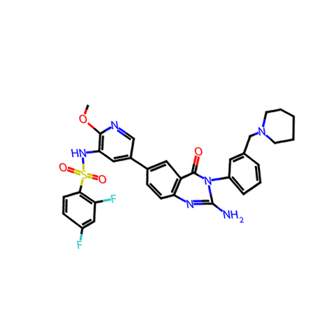 COc1ncc(-c2ccc3nc(N)n(-c4cccc(CN5CCCCC5)c4)c(=O)c3c2)cc1NS(=O)(=O)c1ccc(F)cc1F